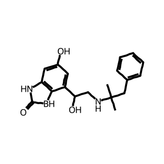 CC(C)(Cc1ccccc1)NCC(O)c1cc(O)cc2c1BC(=O)N2